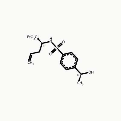 C=CC[C@H](NS(=O)(=O)c1ccc([C@H](C)O)cc1)C(=O)OCC